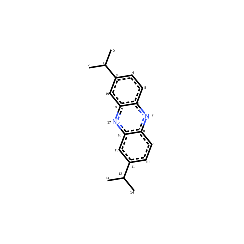 CC(C)c1ccc2nc3ccc(C(C)C)cc3nc2c1